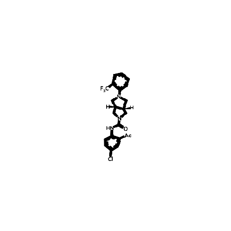 CC(=O)c1cc(Cl)ccc1NC(=O)N1C[C@@H]2CN(c3ccccc3C(F)(F)F)C[C@@H]2C1